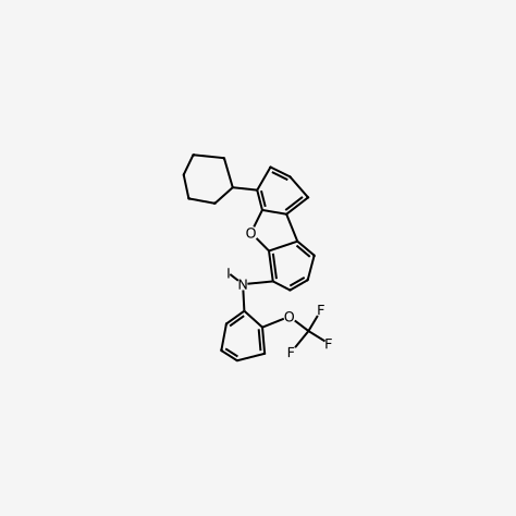 FC(F)(F)Oc1ccccc1N(I)c1cccc2c1oc1c(C3CCCCC3)cccc12